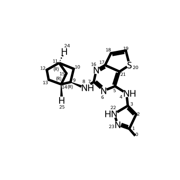 Cc1cc(Nc2nc(N[C@@H]3C[C@@H]4CC[C@@H]3C4)nc3ccsc23)[nH]n1